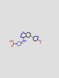 COc1ccc(-c2ccc3ncnc(N[C@H]4CCN(C(=O)O)C4)c3c2)cn1